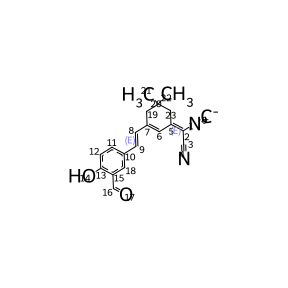 [C-]#[N+]/C(C#N)=C1C=C(/C=C/c2ccc(O)c(C=O)c2)CC(C)(C)C/1